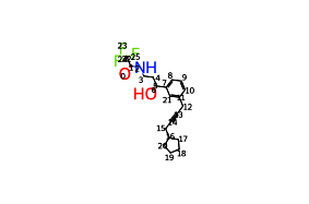 O=C(NCCC(O)c1cccc(CC#CCC2CCCC2)c1)C(F)(F)F